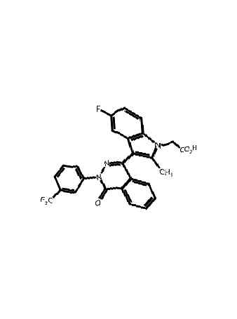 Cc1c(-c2nn(-c3cccc(C(F)(F)F)c3)c(=O)c3ccccc23)c2cc(F)ccc2n1CC(=O)O